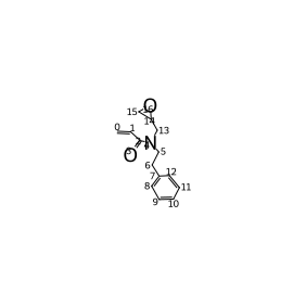 C=CC(=O)N(CCc1ccccc1)CC1CO1